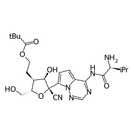 CC(C)[C@H](N)C(=O)Nc1ncnn2c([C@]3(C#N)O[C@H](CO)[C@@H](CCOC(=O)C(C)(C)C)[C@H]3O)ccc12